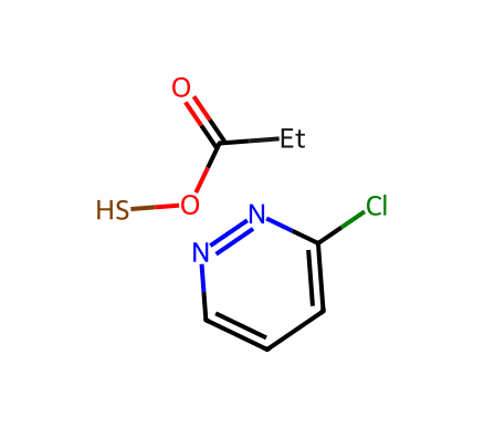 CCC(=O)OS.Clc1cccnn1